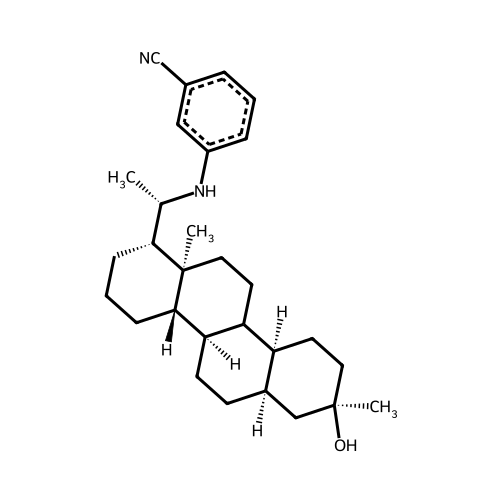 C[C@H](Nc1cccc(C#N)c1)[C@H]1CCC[C@H]2[C@@H]3CC[C@@H]4C[C@](C)(O)CC[C@@H]4C3CC[C@]12C